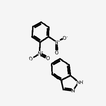 O=[N+]([O-])c1ccccc1[N+](=O)[O-].c1ccc2[nH]ncc2c1